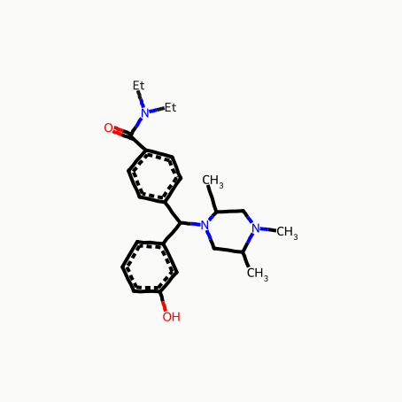 CCN(CC)C(=O)c1ccc(C(c2cccc(O)c2)N2CC(C)N(C)CC2C)cc1